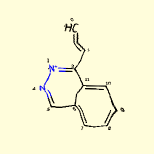 [CH]=CC1=[N+]N=Cc2ccccc21